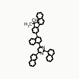 CC1(C)c2ccc(-c3ccc(-c4cc(-c5ccc6ccccc6c5)nc(-c5cccc6ccccc56)n4)c4ccccc34)cc2-c2ccc3ccccc3c21